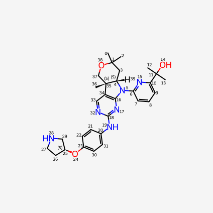 CC1(C)C[C@@H]2N(c3cccc(C(C)(C)O)n3)c3nc(Nc4ccc(O[C@H]5CCNC5)cc4)ncc3[C@]2(C)CO1